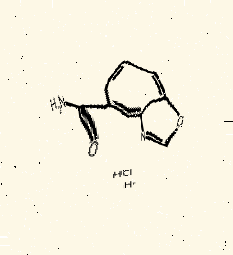 Cl.NC(=O)c1cccc2ocnc12.[H+]